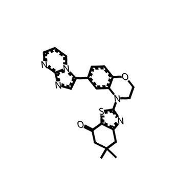 CC1(C)CC(=O)c2sc(N3CCOc4ccc(-c5cnc6ncccn56)cc43)nc2C1